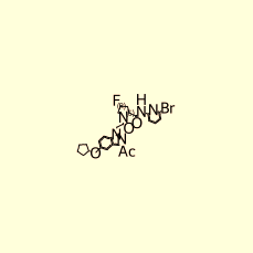 CC(=O)c1nn(CC(=O)N2C[C@H](F)C[C@H]2C(=O)Nc2cccc(Br)n2)c2ccc(OC3CCCC3)cc12